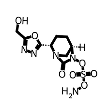 NOS(=O)(=O)ON1C(=O)N2C[C@H]1CC[C@H]2c1nnc(CO)o1